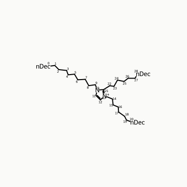 CCCCCCCCCCCCCCCCCCCn1cc[n+](CCCCCCCCCCCCCCCC)c1CCCCCCCCCCCCCCCC